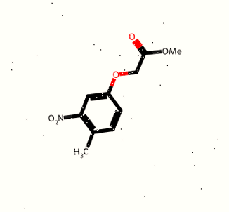 COC(=O)COc1ccc(C)c([N+](=O)[O-])c1